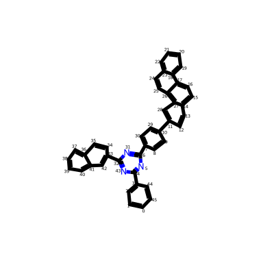 c1ccc(-c2nc(-c3ccc(-c4ccc5ccc6c7ccccc7ccc6c5c4)cc3)nc(-c3ccc4ccccc4c3)n2)cc1